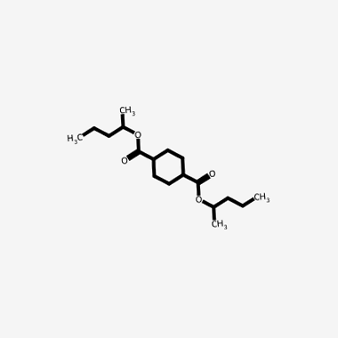 CCCC(C)OC(=O)C1CCC(C(=O)OC(C)CCC)CC1